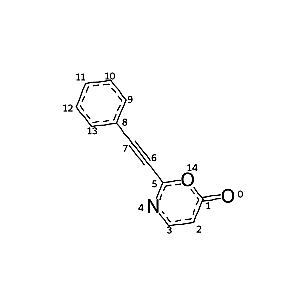 O=c1ccnc(C#Cc2ccccc2)o1